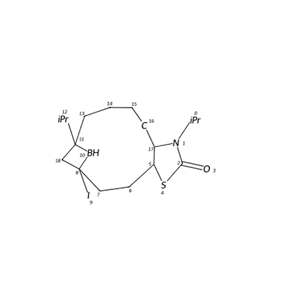 CC(C)N1C(=O)SC2CCC3(I)BC(C(C)C)(CCCCC21)C3